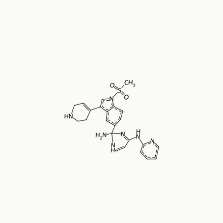 CS(=O)(=O)n1cc(C2=CCNCC2)c2cc(C3(N)N=C(Nc4ccccn4)C=CN3)ccc21